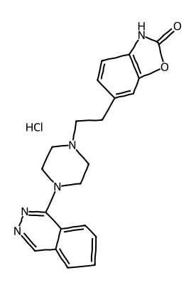 Cl.O=c1[nH]c2ccc(CCN3CCN(c4nncc5ccccc45)CC3)cc2o1